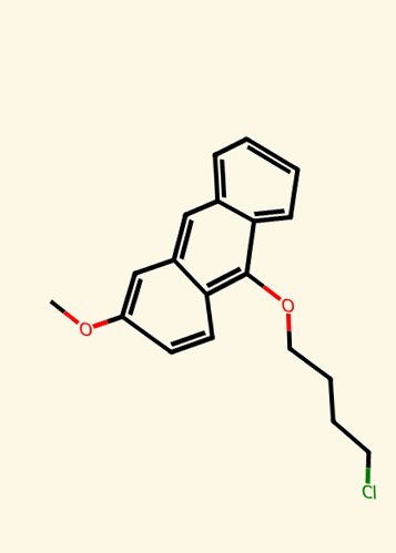 COc1ccc2c(OCCCCCl)c3ccccc3cc2c1